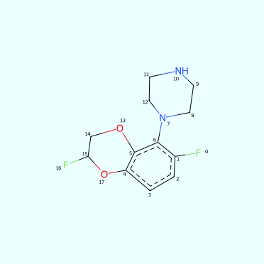 Fc1ccc2c(c1N1CCNCC1)OCC(F)O2